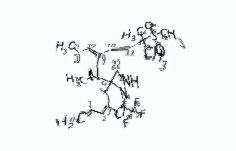 C=C/C=C(/Cl)CC1(N(C)/C(C#CC(C)(C)S(C)(=O)=O)=C\CC)CNN1CC(F)(F)F